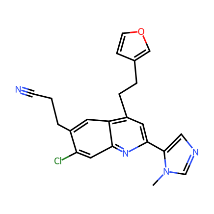 Cn1cncc1-c1cc(CCc2ccoc2)c2cc(CCC#N)c(Cl)cc2n1